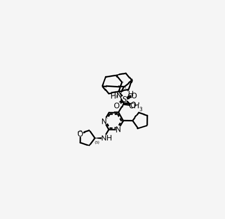 CS(=O)(=O)[C@]12CC3CC(C1)[C@H](NC(=O)c1cnc(N[C@H]4CCOC4)nc1C1CCCC1)C(C3)C2